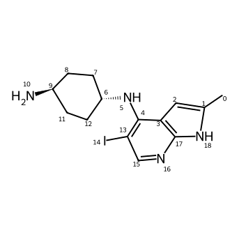 Cc1cc2c(N[C@H]3CC[C@H](N)CC3)c(I)cnc2[nH]1